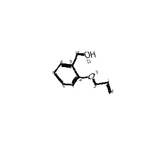 C=CCOc1ccccc1CO